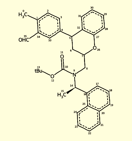 Cc1ccc(C2CC(CN(C(=O)OC(C)(C)C)[C@H](C)c3cccc4ccccc34)Oc3ccccc32)cc1C=O